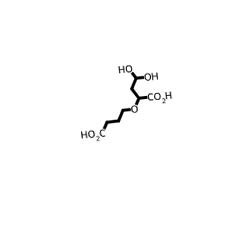 O=C(O)CCCOC(CC(O)O)C(=O)O